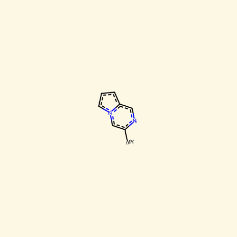 CCCc1cn2cccc2cn1